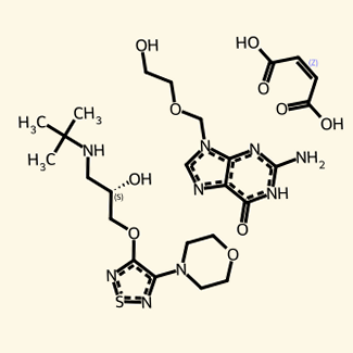 CC(C)(C)NC[C@H](O)COc1nsnc1N1CCOCC1.Nc1nc2c(ncn2COCCO)c(=O)[nH]1.O=C(O)/C=C\C(=O)O